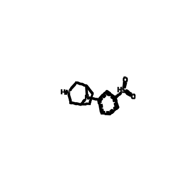 O=[SH](=O)c1cccc(N2C3CCC2CNC3)c1